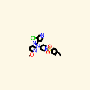 CCc1ccc(S(=O)(=O)N2CCC(n3c(-c4ccncc4Cl)nc4ccc(OC)nc43)CC2)cc1